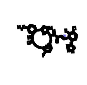 Cc1ccc2c(c1)NC(=O)CCc1nc(ccc1F)CC(NC(=O)/C=C/c1c(-n3cnnn3)ccc(Cl)c1F)c1nc-2c[nH]1